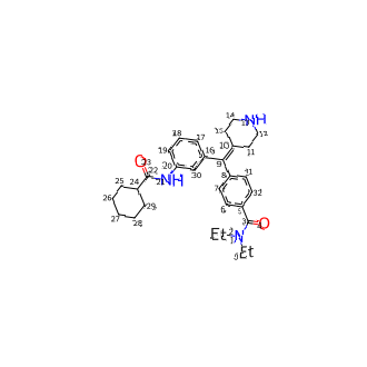 CCN(CC)C(=O)c1ccc(C(=C2CCNCC2)c2cccc(NC(=O)C3CCCCC3)c2)cc1